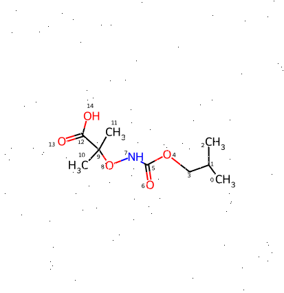 CC(C)COC(=O)NOC(C)(C)C(=O)O